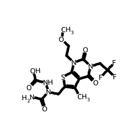 COCCn1c(=O)n(CC(F)(F)F)c(=O)c2c(C)c(CN(NC(=O)O)C(N)=O)sc21